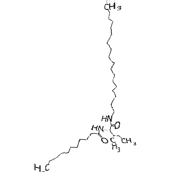 CCCCCCCCCCCCCCCCCCNC(=O)[C@@H](NC(=O)CCCCCCCCCC)[C@@H](C)CC